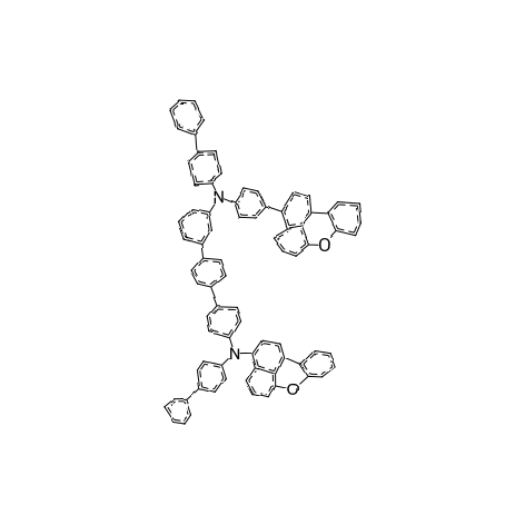 c1ccc(-c2ccc(N(c3ccc(-c4ccc5c6c(cccc46)Oc4ccccc4-5)cc3)c3cccc(-c4ccc(-c5ccc(N(c6ccc(-c7ccccc7)cc6)c6ccc7c8c(cccc68)Oc6ccccc6-7)cc5)cc4)c3)cc2)cc1